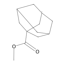 COC(=O)C12C[C]3CC(CC(C3)C1)C2